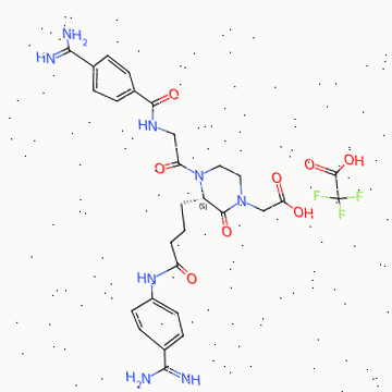 N=C(N)c1ccc(NC(=O)CCC[C@H]2C(=O)N(CC(=O)O)CCN2C(=O)CNC(=O)c2ccc(C(=N)N)cc2)cc1.O=C(O)C(F)(F)F